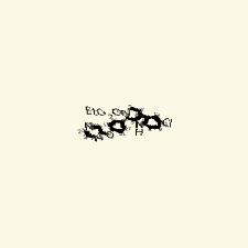 CCOC(=O)N1CCc2c([nH]c3ccc(Cl)cc23)[C@@H]1c1ccc(Oc2cnccn2)cc1